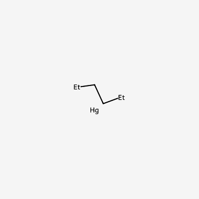 CCCCCC.[Hg]